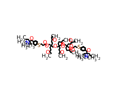 C=CCC(CC)(C(=O)c1ccc(SCCC(=O)OCC(CCC(=O)C=C)(CCC(=O)C=C)COCC(CCC(=O)C=C)(CCC(=O)C=C)COCC(CCC(=O)C=C)(CCC(=O)C=C)COC(=O)CCSc2ccc(C(=O)C(CC)(CC=C)N(C)C)cc2)cc1)N(C)C